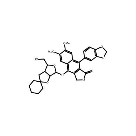 COc1cc2c(OC3OC(CO)C4OC5(CCCCC5)OC34)c3c(c(-c4ccc5c(c4)OCO5)c2cc1OC)C(=O)OC3